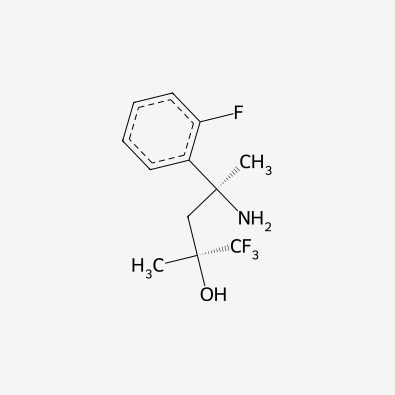 C[C@](N)(C[C@](C)(O)C(F)(F)F)c1ccccc1F